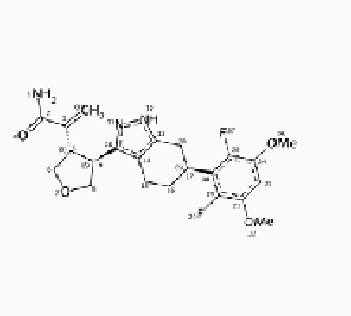 C=C(C(N)=O)[C@H]1COC[C@@H]1c1n[nH]c2c1CC[C@H](c1c(F)c(OC)cc(OC)c1F)C2